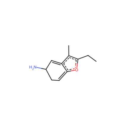 CCc1oc2c(c1C)=CC(N)CC=2